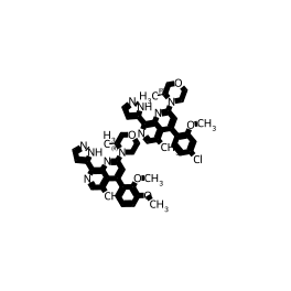 COc1cc(Cl)ccc1-c1cc(N2CCOC[C@H]2C)nc2c(-c3ccn[nH]3)ncc(C)c12.COc1cccc(-c2cc(N3CCOC[C@H]3C)nc3c(-c4ccn[nH]4)ncc(C)c23)c1OC